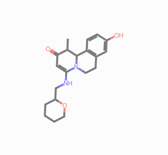 CC1C(=O)C=C(NCC2CCCCO2)N2CCc3cc(O)ccc3C12